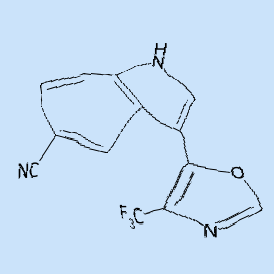 N#Cc1ccc2[nH]cc(-c3ocnc3C(F)(F)F)c2c1